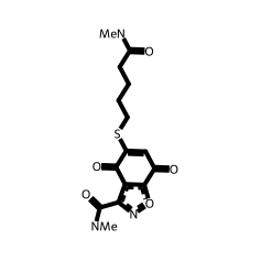 CNC(=O)CCCCSC1=CC(=O)c2onc(C(=O)NC)c2C1=O